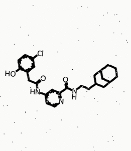 O=C(Cc1cc(Cl)ccc1O)Nc1ccnc(C(=O)NCCC2CC3CCCC(C3)C2)c1